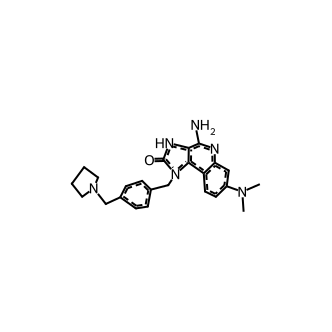 CN(C)c1ccc2c(c1)nc(N)c1[nH]c(=O)n(Cc3ccc(CN4CCCC4)cc3)c12